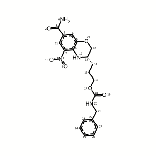 NC(=O)c1cc2c(c([N+](=O)[O-])c1)N[C@@H](CCCOC(=O)NCc1ccccc1)CO2